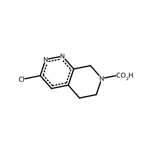 O=C(O)N1CCc2cc(Cl)nnc2C1